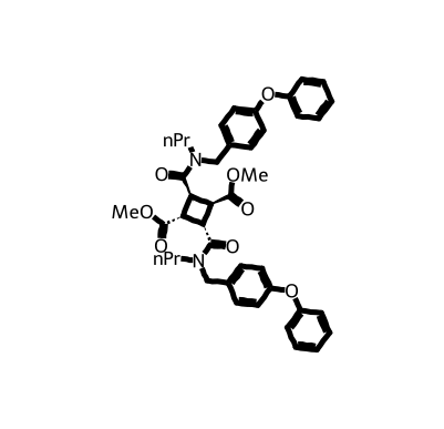 CCCN(Cc1ccc(Oc2ccccc2)cc1)C(=O)[C@H]1[C@H](C(=O)OC)[C@H](C(=O)N(CCC)Cc2ccc(Oc3ccccc3)cc2)[C@H]1C(=O)OC